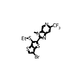 CCSc1c(-c2nc3cc(C(F)(F)F)ncc3n2C)sc2c(Br)csc12